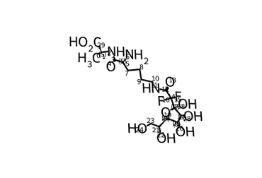 C[C@H](NC(=O)[C@@H](N)CCCCNC(=O)C(F)(F)[C@]1(O)O[C@H](C(O)CO)[C@H](O)[C@H]1O)C(=O)O